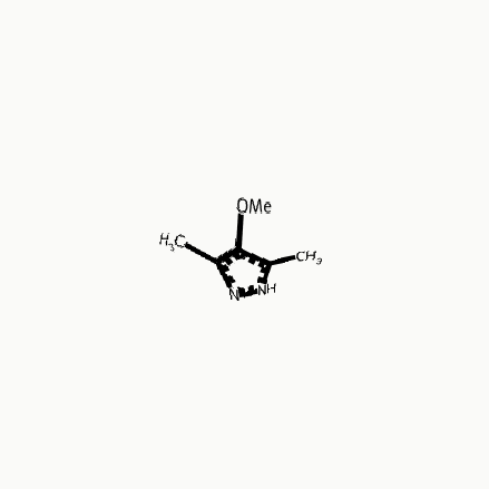 COc1c(C)n[nH]c1C